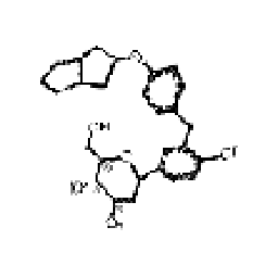 OC[C@H]1OC(c2ccc(Cl)c(Cc3ccc(OC4CC5CCCC5C4)cc3)c2)C[C@@H](O)[C@@H]1O